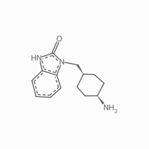 N[C@H]1CC[C@@H](Cn2c(=O)[nH]c3ccccc32)CC1